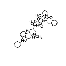 CN1C[C@H](C(=O)N[C@]2(C)O[C@@]3(O)[C@@H]4CCCN4C(=O)[C@H](Cc4ccccc4)N3C2=O)C[C@@H]2c3cccc4c3c(cn4C3CCCCC3)C[C@H]21